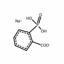 O=C([O-])c1ccccc1P(=O)(O)O.[Na+]